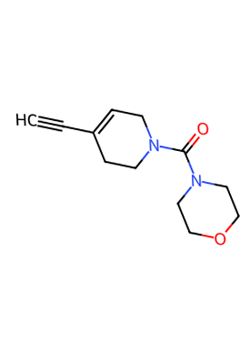 C#CC1=CCN(C(=O)N2CCOCC2)CC1